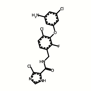 Nc1cc(Cl)cc(Oc2c(Cl)ccc(CNC(=O)c3[nH]cnc3Cl)c2F)c1